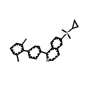 Cc1cccc(C)c1-c1ccc(-c2nccc3cc(S(C)(C)C4CC4)ccc23)cc1